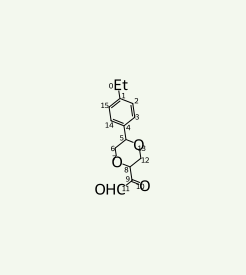 CCc1ccc(C2COC(C(=O)C=O)CO2)cc1